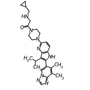 Cc1c(-c2[nH]c3ccc(N4CCN(C(=O)CNCC5CC5)CC4)nc3c2C(C)C)cn2ncnc2c1C